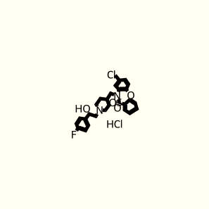 Cl.O=S1(=O)c2ccccc2Oc2ccc(Cl)cc2N1CC1CCN(C[C@H](O)c2ccc(F)cc2)CC1